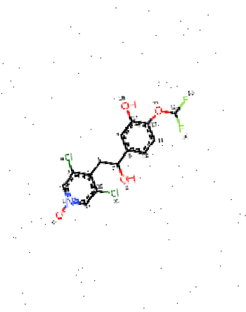 [O-][n+]1cc(Cl)c(CC(O)c2ccc(OC(F)F)c(O)c2)c(Cl)c1